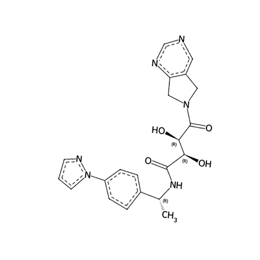 C[C@@H](NC(=O)[C@H](O)[C@@H](O)C(=O)N1Cc2cncnc2C1)c1ccc(-n2cccn2)cc1